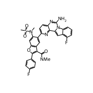 CNC(=O)c1c(-c2ccc(F)cc2)oc2cc(N(C)S(C)(=O)=O)c(-c3ccc4nc(N)n5c6cccc(F)c6cc5c4n3)cc12